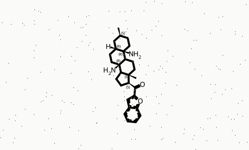 C[C@H]1CC[C@]2(N)C3CC[C@@]4(C)C(CC[C@@H]4C(=O)c4cc5ccccc5o4)[C@]3(N)CC[C@@H]2C1